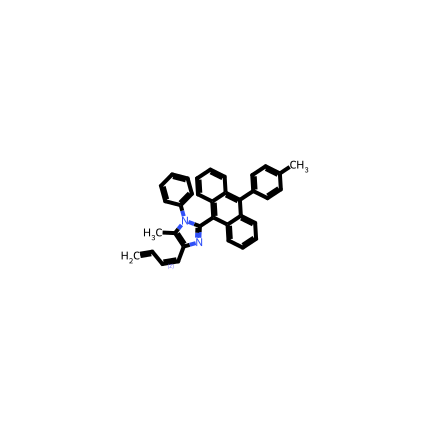 C=C/C=C\c1nc(-c2c3ccccc3c(-c3ccc(C)cc3)c3ccccc23)n(-c2ccccc2)c1C